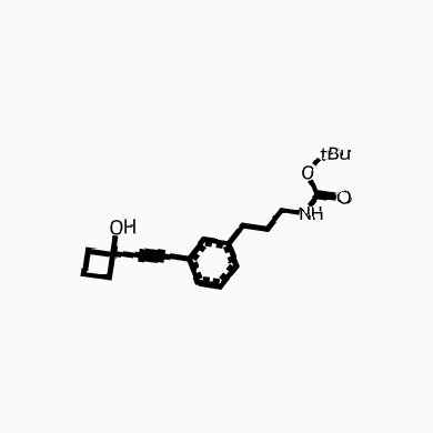 CC(C)(C)OC(=O)NCCCc1cccc(C#CC2(O)CCC2)c1